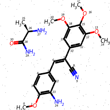 COc1ccc(C=C(C#N)c2cc(OC)c(OC)c(OC)c2)cc1N.C[C@@H](N)C(N)=O